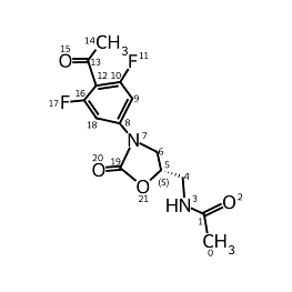 CC(=O)NC[C@H]1CN(c2cc(F)c(C(C)=O)c(F)c2)C(=O)O1